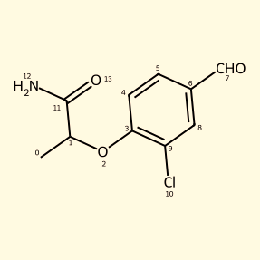 CC(Oc1ccc(C=O)cc1Cl)C(N)=O